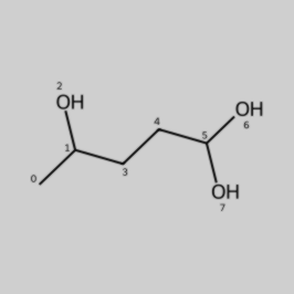 CC(O)CCC(O)O